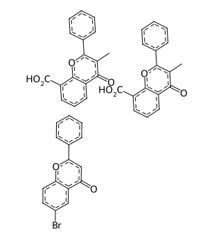 Cc1c(-c2ccccc2)oc2c(C(=O)O)cccc2c1=O.Cc1c(-c2ccccc2)oc2c(C(=O)O)cccc2c1=O.O=c1cc(-c2ccccc2)oc2ccc(Br)cc12